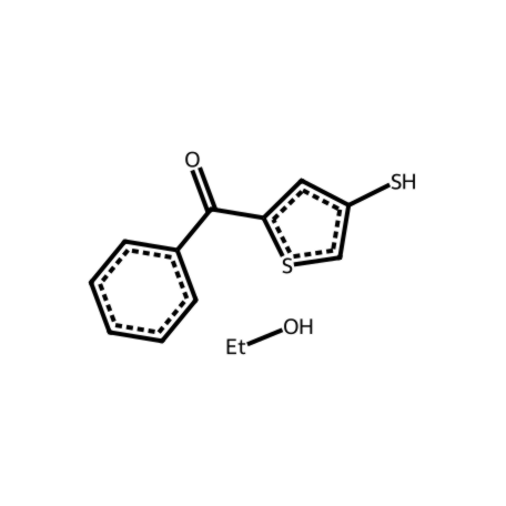 CCO.O=C(c1ccccc1)c1cc(S)cs1